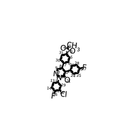 CS(=O)(=O)c1ccc(-c2cnn(-c3ccc(F)c(Cl)c3)c(=O)c2-c2ccc(F)cc2)cc1